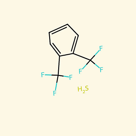 FC(F)(F)c1ccccc1C(F)(F)F.S